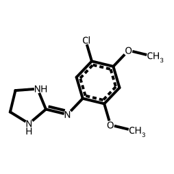 COc1cc(OC)c(N=C2NCCN2)cc1Cl